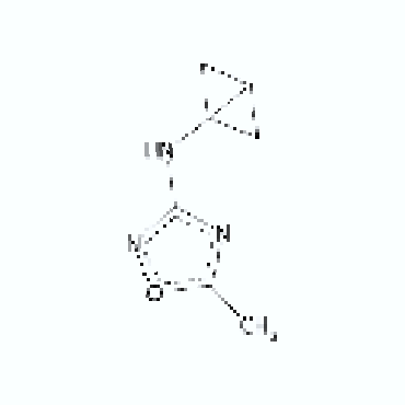 Cc1nc(NC23CC2C3)no1